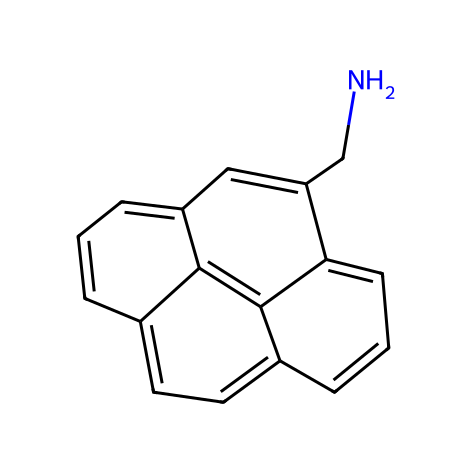 NCc1cc2cccc3ccc4cccc1c4c32